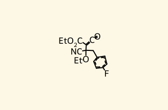 CCOC(=O)C(=C=O)C(C#N)(Cc1ccc(F)cc1)OCC